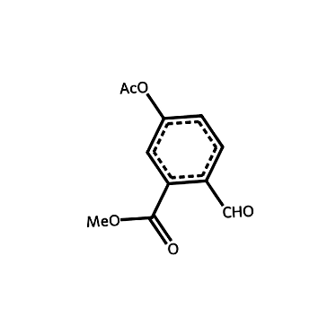 COC(=O)c1cc(OC(C)=O)ccc1C=O